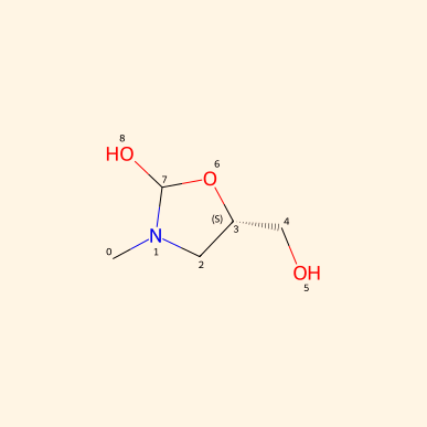 CN1C[C@@H](CO)OC1O